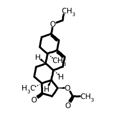 CCOC1=CC2=CC[C@H]3[C@@H]4[C@@H](OC(C)=O)CC(=O)[C@@]4(C)CC[C@@H]3[C@@]2(C)CC1